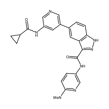 CNc1ccc(NC(=O)c2n[nH]c3ccc(-c4cncc(NC(=O)C5CC5)c4)cc23)cn1